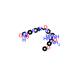 N=C(/C(C(N)=O)=C1/NCC[C@@H](C2CCN(C(=O)CCN3CC4(CCN(c5ccc(N6CCC(=O)NC6=O)cc5)CC4)C3)CC2)N1)c1ccc(Oc2ccccc2)cc1